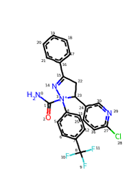 NC(=O)[N+]1(c2ccc(C(F)(F)F)cc2)N=C(c2ccccc2)CC1c1ccc(Cl)nc1